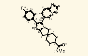 CNC(=O)C1CCC2(CC1)Cc1nc(-c3ccc(F)cc3)c(-c3ccc4ncnn4c3)n1C2